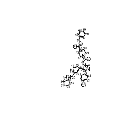 O=C(Cn1cnc(-c2ccc(Cl)cc2)c1-c1ccnc(CNC2CCCC2)c1)N1CCN(C(=O)OCc2ccccc2)CC1